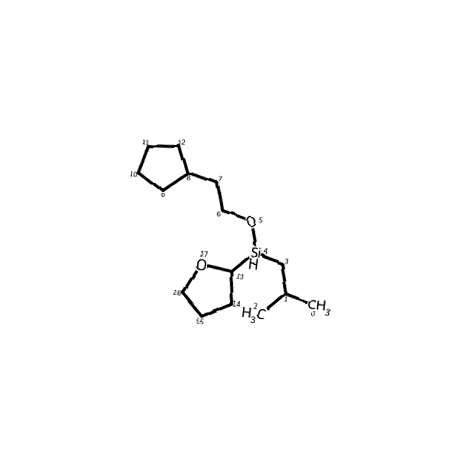 CC(C)C[SiH](OCCC1CCCC1)C1CCCO1